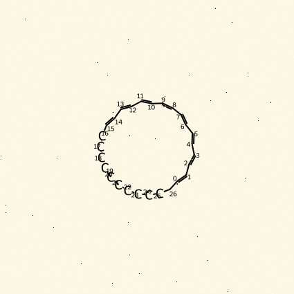 [C]1=C/C=C/C=C/C=C/C=C\C=C\C=C\C=C\CCCCCCCCCCC/1